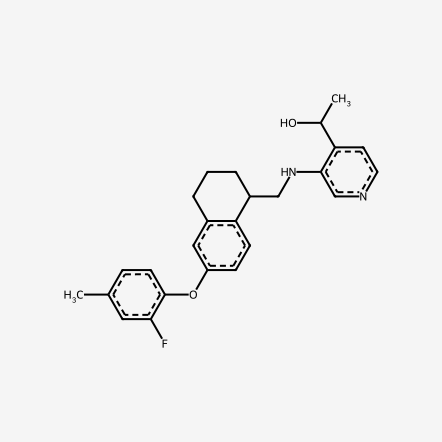 Cc1ccc(Oc2ccc3c(c2)CCCC3CNc2cnccc2C(C)O)c(F)c1